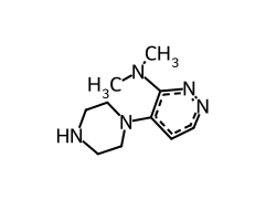 CN(C)c1nnccc1N1CCNCC1